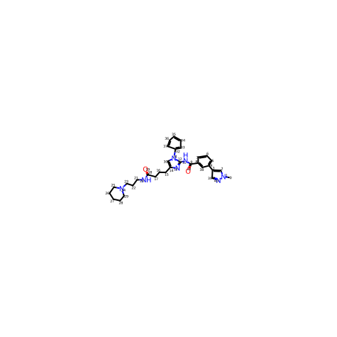 Cn1cc(-c2cccc(C(=O)Nc3nc(CCCC(=O)NCCCN4CCCCC4)cn3-c3ccccc3)c2)cn1